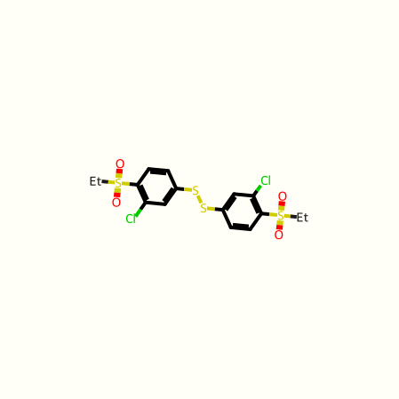 CCS(=O)(=O)c1ccc(SSc2ccc(S(=O)(=O)CC)c(Cl)c2)cc1Cl